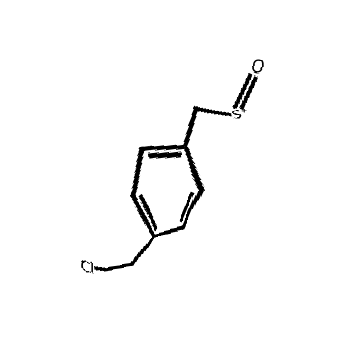 O=[S+]Cc1ccc(CCl)cc1